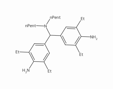 CCCCCN(CCCCC)C(c1cc(CC)c(N)c(CC)c1)c1cc(CC)c(N)c(CC)c1